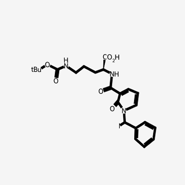 CC(C)(C)OC(=O)NCCC[C@H](NC(=O)c1cccn(C(I)c2ccccc2)c1=O)C(=O)O